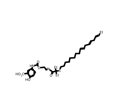 CCC=CCC=CCC=CCCCCCCCCSC(CC)(CC)C(=O)NCCOC(=O)Nc1ccc(O)c(C(=O)O)c1